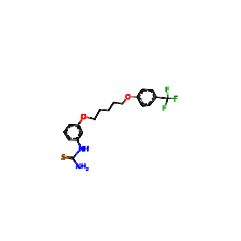 NC(=S)Nc1cccc(OCCCCCOc2ccc(C(F)(F)F)cc2)c1